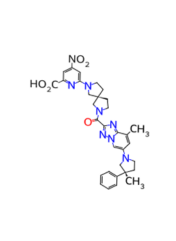 Cc1cc(N2CC[C@](C)(c3ccccc3)C2)cn2nc(C(=O)N3CC[C@@]4(CCN(c5cc([N+](=O)[O-])cc(C(=O)O)n5)C4)C3)nc12